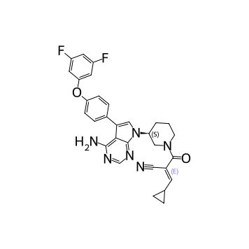 N#C/C(=C\C1CC1)C(=O)N1CCC[C@H](n2cc(-c3ccc(Oc4cc(F)cc(F)c4)cc3)c3c(N)ncnc32)C1